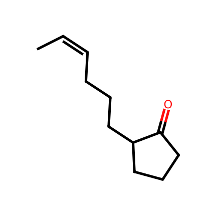 C/C=C\CCCC1CCCC1=O